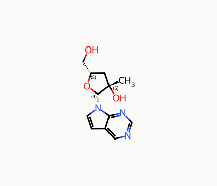 C[C@]1(O)C[C@@H](CO)O[C@H]1n1ccc2cncnc21